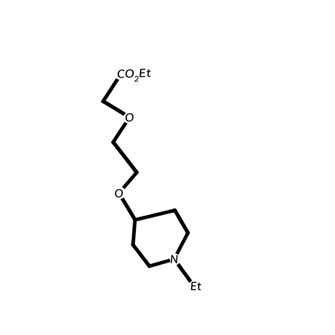 CCOC(=O)COCCOC1CCN(CC)CC1